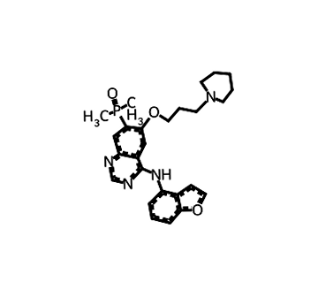 CP(C)(=O)c1cc2ncnc(Nc3cccc4occc34)c2cc1OCCCN1CCCCC1